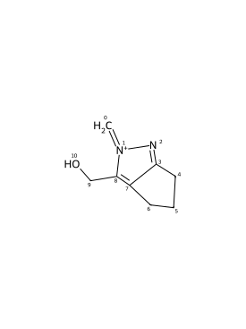 C=[N+]1N=C2CCCC2=C1CO